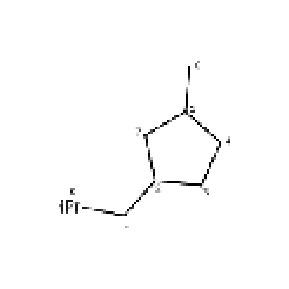 C[C](C)CC1CCC(C)C1